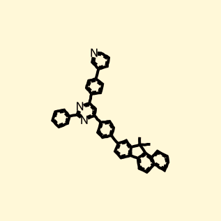 CC1(C)c2cc(-c3ccc(-c4cc(-c5ccc(-c6cccnc6)cc5)nc(-c5ccccc5)n4)cc3)ccc2-c2ccc3ccccc3c21